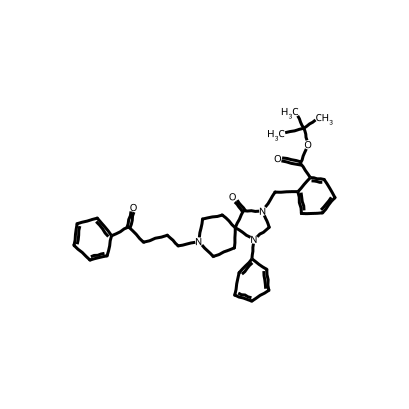 CC(C)(C)OC(=O)c1ccccc1CN1CN(c2ccccc2)C2(CCN(CCCC(=O)c3ccccc3)CC2)C1=O